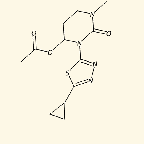 CC(=O)OC1CCN(C)C(=O)N1c1nnc(C2CC2)s1